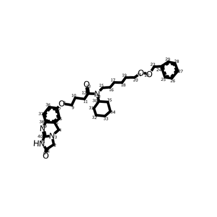 O=C1CN2Cc3cc(OCCCC(=O)N(CCCCCCOOCc4ccccc4)C4CCCCC4)ccc3N=C2N1